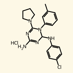 Cc1cccc(N2C(N3CCCC3)=NC(N)=NC2Nc2ccc(Cl)cc2)c1.Cl